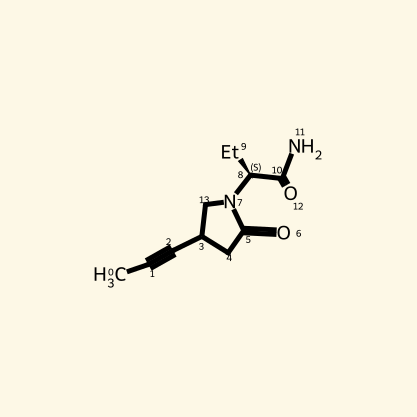 CC#CC1CC(=O)N([C@@H](CC)C(N)=O)C1